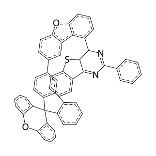 c1ccc(C2=NC(c3cccc4oc5ccc(-c6ccc7c(c6)-c6ccccc6C76c7ccccc7Oc7ccccc76)cc5c34)C3Sc4ccccc4C3=N2)cc1